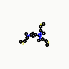 CC1(C)c2cc(-c3cc(-n4c5ccccc5c5cc(-c6ccc7sc8ccccc8c7c6)ccc54)nc(-n4c5ccccc5c5cc(-c6ccc7sc8ccccc8c7c6)ccc54)n3)cc3c2-c2c1cc(-n1c4ccccc4c4cc(-c5ccc6sc7ccccc7c6c5)ccc41)cc2C3(C)C